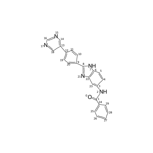 O=C(Nc1ccc2[nH]c(-c3ccc(-c4cncnc4)cc3)nc2c1)c1ccccc1